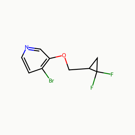 FC1(F)CC1COc1cnccc1Br